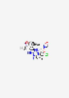 COc1cc2c3c([nH]c2cc1-c1c(C)noc1C)NC(C)N=C3N[C@H](CC(=O)N1CCOCC1)c1cccc(Cl)c1